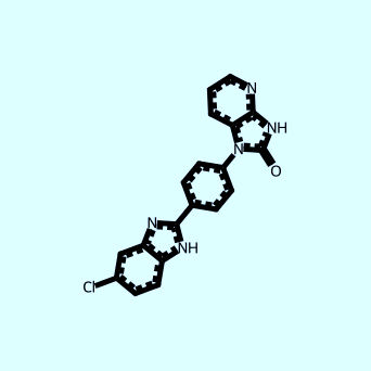 O=c1[nH]c2ncccc2n1-c1ccc(-c2nc3cc(Cl)ccc3[nH]2)cc1